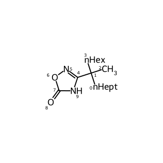 CCCCCCCC(C)(CCCCCC)c1noc(=O)[nH]1